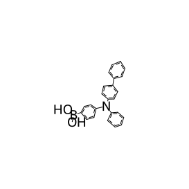 OB(O)c1ccc(N(c2ccccc2)c2ccc(-c3ccccc3)cc2)cc1